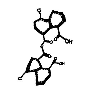 O=C(O)c1cccc2c(Cl)ccc(C(=O)OC(=O)c3ccc(Cl)c4cccc(C(=O)O)c34)c12